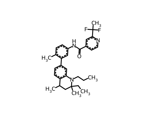 CCCN1c2cc(-c3cc(NC(=O)c4ccnc(C(C)(F)F)c4)ccc3C)ccc2C(C)CC1(C)CC